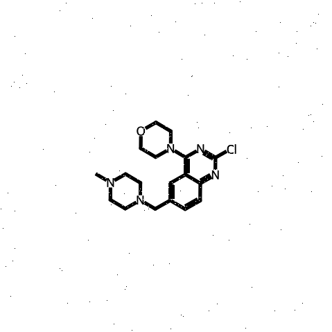 CN1CCN(Cc2ccc3nc(Cl)nc(N4CCOCC4)c3c2)CC1